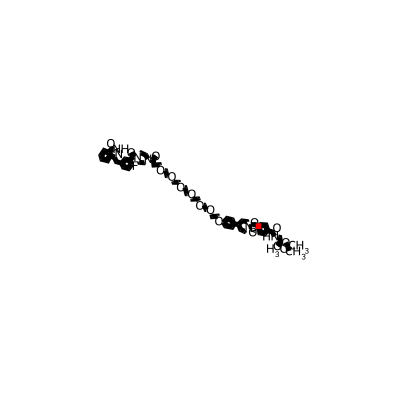 CC(C)(C)OC(=O)CNC(=O)c1ccc(S(=O)(=O)N2CCC(c3ccc(OCCOCCOCCOCCOCCOCCOCCC(=O)N4CCN(C(=O)c5cc(Cc6n[nH]c(=O)c7ccccc67)ccc5F)CC4)cc3)CC2)cc1